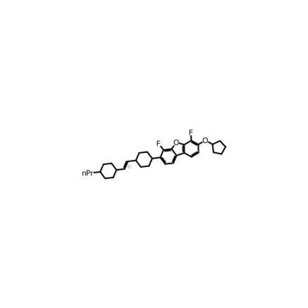 CCCC1CCC(/C=C/C2CCC(c3ccc4c(oc5c(F)c(OC6CCCC6)ccc54)c3F)CC2)CC1